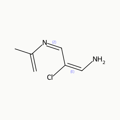 C=C(C)/N=C\C(Cl)=C/N